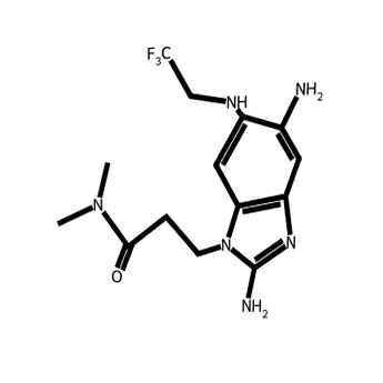 CN(C)C(=O)CCn1c(N)nc2cc(N)c(NCC(F)(F)F)cc21